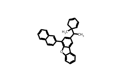 CC(c1cc(-c2ccc3ccccc3c2)c2oc3ccccc3c2c1)C1(C)C=CC=CC1